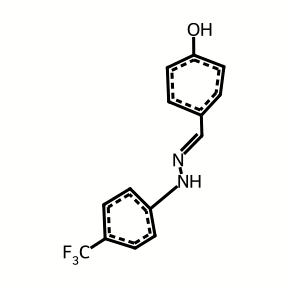 Oc1ccc(/C=N/Nc2ccc(C(F)(F)F)cc2)cc1